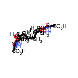 CC(C=CC=C(C)C=CC1=C(C)OC(OC(=O)CNC(=O)NCCCC(=O)O)CC1(C)C)=CC=CC=C(C)C=CC=C(C)C=CC1=C(C)C(=O)C(OC(=O)CNC(=O)NCCCC(=O)O)CC1(C)C